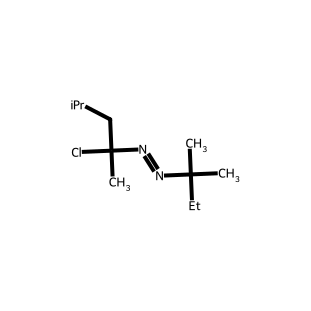 CCC(C)(C)/N=N/C(C)(Cl)CC(C)C